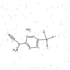 Cl.N#CC(N)c1ccc(C(F)(F)F)cc1